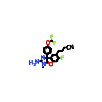 CN1C(=O)C(c2ccc(OC(F)F)cc2)(c2ccc(F)c(CCCC#N)c2)N=C1N